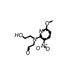 COc1ccc([N+](=O)[O-])c(N(CC=O)CCO)n1